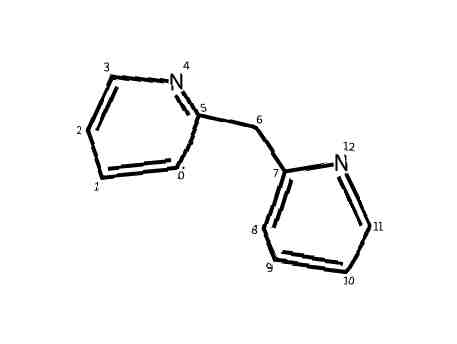 [c]1cccnc1Cc1ccccn1